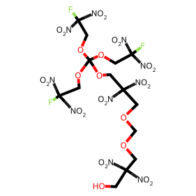 O=[N+]([O-])C(F)(COC(OCC(F)([N+](=O)[O-])[N+](=O)[O-])(OCC(F)([N+](=O)[O-])[N+](=O)[O-])OCC(COCOCC(CO)([N+](=O)[O-])[N+](=O)[O-])([N+](=O)[O-])[N+](=O)[O-])[N+](=O)[O-]